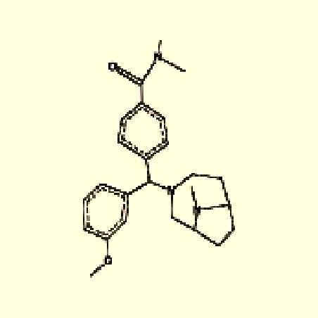 COc1cccc(C(c2ccc(C(=O)N(C)C)cc2)N2CCC3CCC(C2)N3C)c1